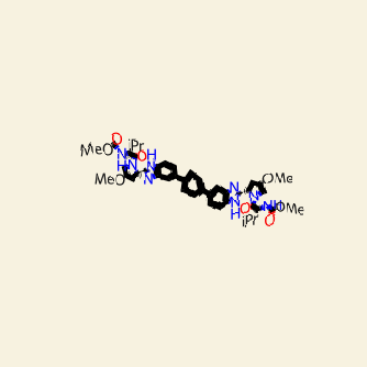 COC(=O)N[C@H](C(=O)N1C[C@@H](OC)C[C@H]1c1nc2cc(-c3ccc(-c4ccc5[nH]c([C@@H]6C[C@H](OC)CN6C(=O)[C@@H](NC(=O)OC)C(C)C)nc5c4)cc3)ccc2[nH]1)C(C)C